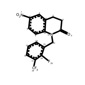 O=C1CCc2cc([N+](=O)[O-])ccc2N1Cc1cccc(C(F)(F)F)c1F